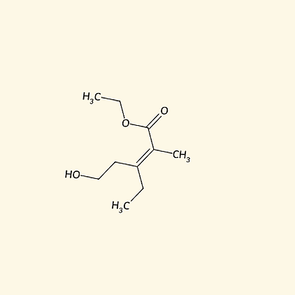 CCOC(=O)C(C)=C(CC)CCO